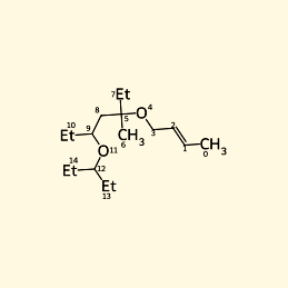 C/C=C/COC(C)(CC)CC(CC)OC(CC)CC